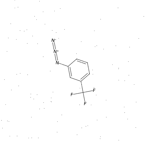 [N-]=[N+]=Nc1cccc(C(F)(F)F)c1